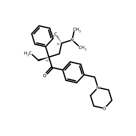 CC[C@@](C[C@H](C)N(C)C)(C(=O)c1ccc(CN2CCOCC2)cc1)c1ccccc1